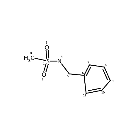 CS(=O)(=O)[N]Cc1ccccc1